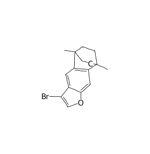 CC12CCC(C)(CC1)c1cc3c(Br)coc3cc12